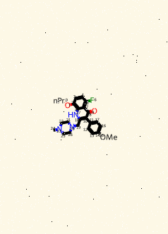 CCCOc1ccc(F)c2c(=O)c(-c3ccc(OC)cc3)c(CN3CCN(C)CC3)[nH]c12